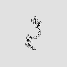 Cn1c(=O)n(C2CCC(=O)NC2=O)c2cccc(C#CCN3CCN(C[C@H]4CC[C@H](n5cc(NC(=O)c6cnn7ccc(N8CCC9(CC8)CC9)nc67)c(C(F)F)n5)CC4)CC3)c21